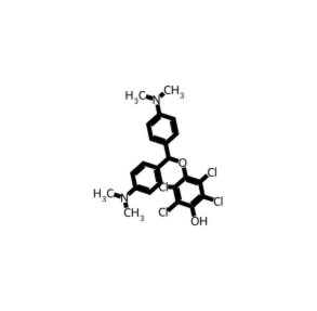 CN(C)c1ccc(C(Oc2c(Cl)c(Cl)c(O)c(Cl)c2Cl)c2ccc(N(C)C)cc2)cc1